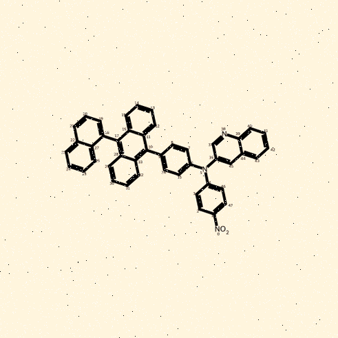 O=[N+]([O-])c1ccc(N(c2ccc(-c3c4ccccc4c(-c4cccc5ccccc45)c4ccccc34)cc2)c2cnc3ccccc3c2)cc1